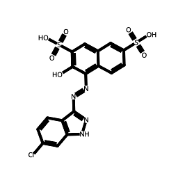 O=S(=O)(O)c1ccc2c(N=Nc3n[nH]c4cc(Cl)ccc34)c(O)c(S(=O)(=O)O)cc2c1